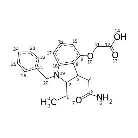 CCC1C(CC(N)=O)c2c(OCC(=O)O)cccc2N1Cc1ccccc1